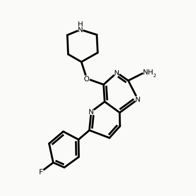 Nc1nc(OC2CCNCC2)c2nc(-c3ccc(F)cc3)ccc2n1